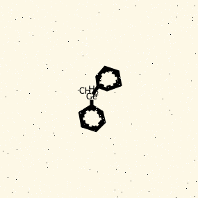 [CH3].c1cc[c]([GeH2][c]2ccccc2)cc1